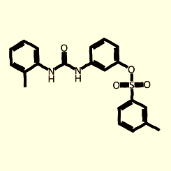 Cc1cccc(S(=O)(=O)Oc2cccc(NC(=O)Nc3ccccc3C)c2)c1